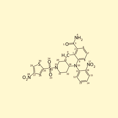 Cc1c(C(N)=O)cccc1N(c1ccccc1[N+](=O)[O-])C1CCN(S(=O)(=O)c2cc([N+](=O)[O-])cs2)CC1